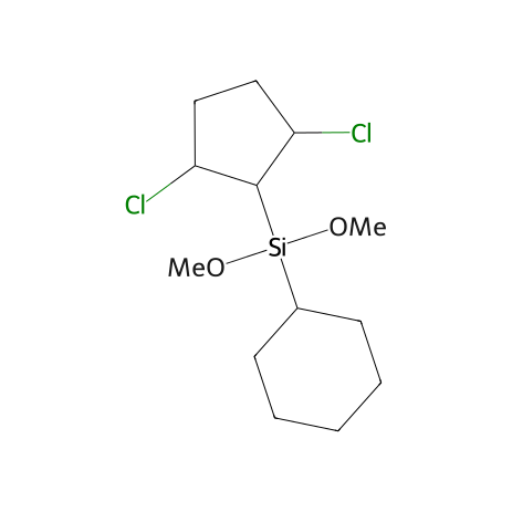 CO[Si](OC)(C1CCCCC1)C1C(Cl)CCC1Cl